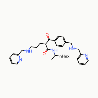 CCCCCCC(C)NC(=O)[C@@H](CCCNCc1ccccn1)C(=O)c1ccc(CNCc2ccccn2)cc1